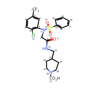 O=C(CN(c1cc(C(F)(F)F)ccc1Cl)S(=O)(=O)c1ccccc1)NCC1CCN(C(=O)O)CC1